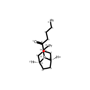 CC(C)CCCC(=O)N1C[C@H]2CC[C@@H](C1)N2CC(C)C